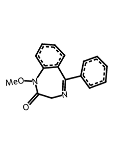 CON1C(=O)CN=C(c2ccccc2)c2ccccc21